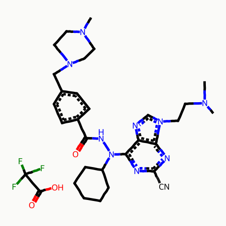 CN(C)CCn1cnc2c(N(NC(=O)c3ccc(CN4CCN(C)CC4)cc3)C3CCCCC3)nc(C#N)nc21.O=C(O)C(F)(F)F